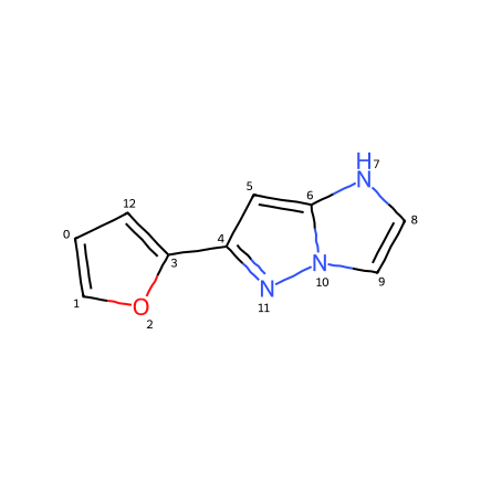 c1coc(-c2cc3[nH]ccn3n2)c1